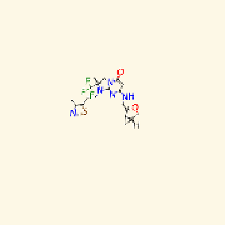 Cc1ncsc1CCN1c2nc(NC[C@H]3OC[C@@H]4CC43)cc(=O)n2C[C@@]1(C)C(F)(F)F